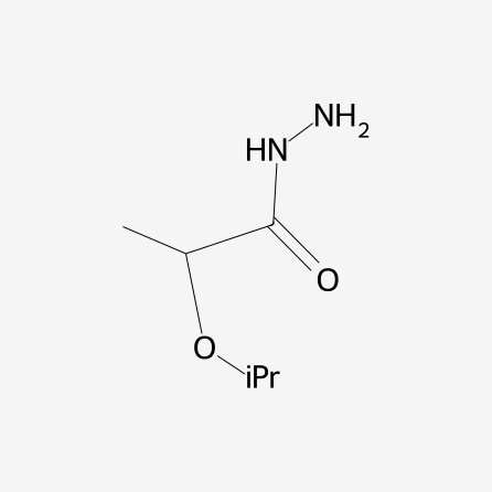 CC(C)OC(C)C(=O)NN